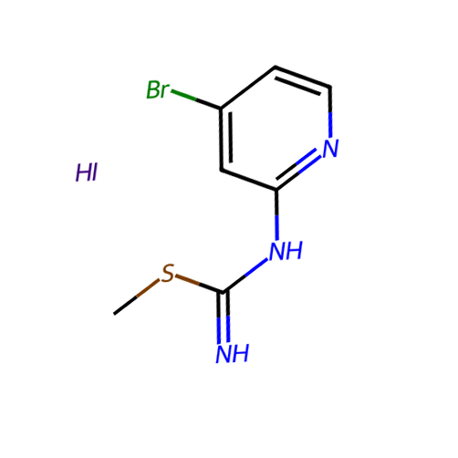 CSC(=N)Nc1cc(Br)ccn1.I